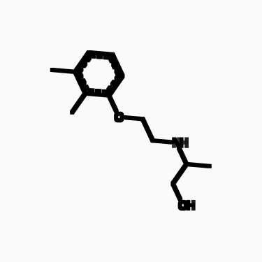 Cc1cccc(OCCNC(C)CO)c1C